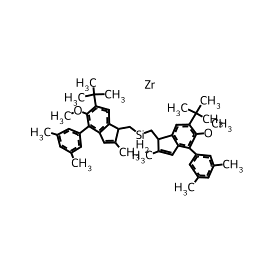 COc1c(C(C)(C)C)cc2c(c1-c1cc(C)cc(C)c1)C=C(C)C2C[SiH2]CC1C(C)=Cc2c1cc(C(C)(C)C)c(OC)c2-c1cc(C)cc(C)c1.[Zr]